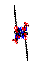 CCCCCCCCCCCCCCCCCCCCOc1ccc(-c2c3/c(=C(\C#N)c4cnc5cc(OC)c(OC)cc5n4)n(B(c4ccccc4)c4ccccc4)c(-c4ccc(OCCCCCCCCCCCCCCCCCCCC)cc4)c3/c(=C(\C#N)c3cnc4cc(OC)c(OC)cc4n3)n2B(c2ccccc2)c2ccccc2)cc1